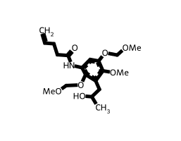 C=CCCC(=O)Nc1cc(OCOC)c(OC)c(CC(C)O)c1OCOC